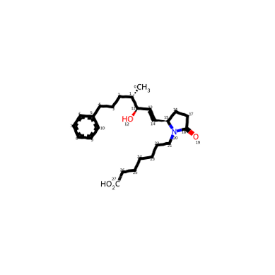 C[C@@H](CCCc1ccccc1)[C@H](O)/C=C/[C@H]1CCC(=O)N1CCCCCCC(=O)O